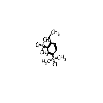 CCc1ccc([Si](C)(C)Cl)cc1[Si](C)(C)Cl